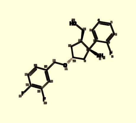 N[C@@]1(c2ccccc2F)C[C@H](OCc2ccc(F)c(F)c2)C[C@H]1CO